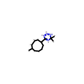 CC1CCCCC(C2=NC(C)(C)NN=N2)CCC1